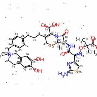 CC(C)(O/N=C(\C(=O)N[C@@H]1C(=O)N2C(C(=O)O)=C(CCCc3ccc(C[N+]4(C)CCc5cc(O)c(O)cc5C4)cc3)CS[C@H]12)c1csc(N)n1)C(=O)O